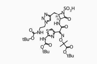 CC(C)(C)OC(=O)NCCn1cc(C[C@@H]2[C@H](NC(=O)C(=NOC(C)(C)C(=O)OC(C)(C)C)c3csc(NC(=O)OC(C)(C)C)n3)C(=O)N2S(=O)(=O)O)nn1